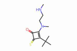 CNCCN(C)c1c(C(C)(C)C)c(=S)c1=O